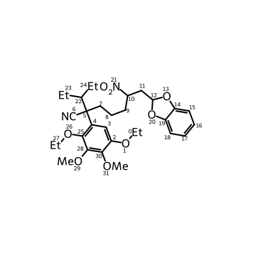 CCOc1cc(C(C#N)(CCCC(CC2Oc3ccccc3O2)[N+](=O)[O-])C(CC)CC)c(OCC)c(OC)c1OC